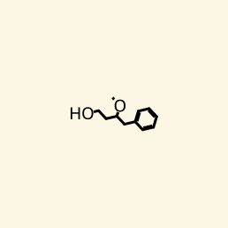 COC(CCO)Cc1ccccc1